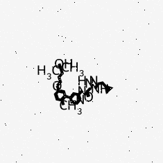 Cc1ccc(OCCCC(C)(C)O)cc1-c1ccnc(NC(=O)c2nnc(CC3CC3)[nH]2)c1